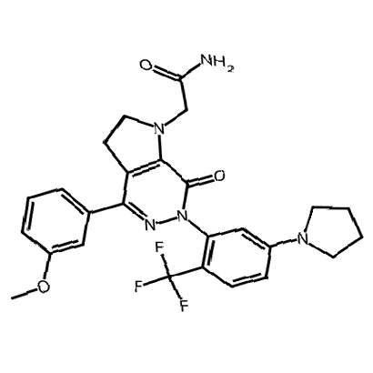 COc1cccc(-c2nn(-c3cc(N4CCCC4)ccc3C(F)(F)F)c(=O)c3c2CCN3CC(N)=O)c1